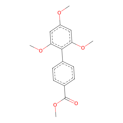 COC(=O)c1ccc(-c2c(OC)cc(OC)cc2OC)cc1